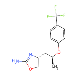 C[C@@H](C[C@@H]1COC(N)=N1)Oc1ccc(C(F)(F)F)cc1